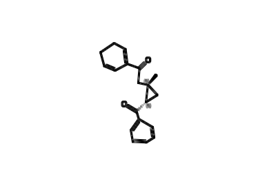 C[C@@]1(CC(=O)C2=CCCC=C2)C[C@@H]1C(=O)c1ccccc1